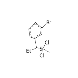 CCC(c1cccc(Br)c1)[Si](C)(Cl)Cl